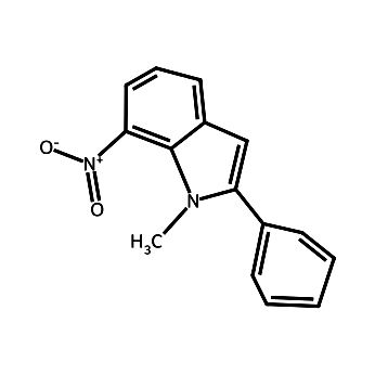 Cn1c(-c2ccccc2)cc2cccc([N+](=O)[O-])c21